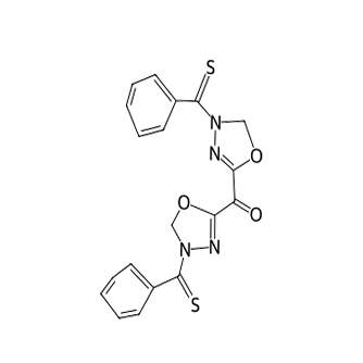 O=C(C1=NN(C(=S)c2ccccc2)CO1)C1=NN(C(=S)c2ccccc2)CO1